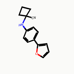 N#CC1(Nc2ccc(-c3ccco3)cc2)CCC1